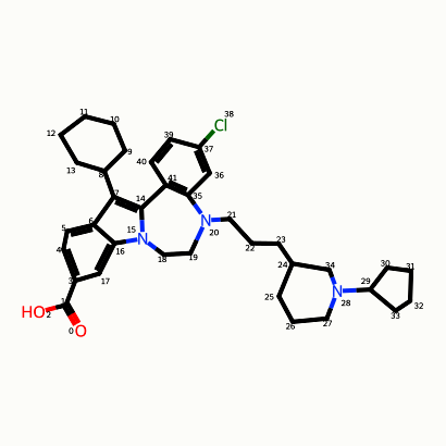 O=C(O)c1ccc2c(C3CCCCC3)c3n(c2c1)CCN(CCCC1CCCN(C2CCCC2)C1)c1cc(Cl)ccc1-3